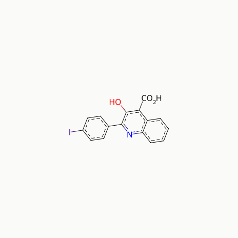 O=C(O)c1c(O)c(-c2ccc(I)cc2)nc2ccccc12